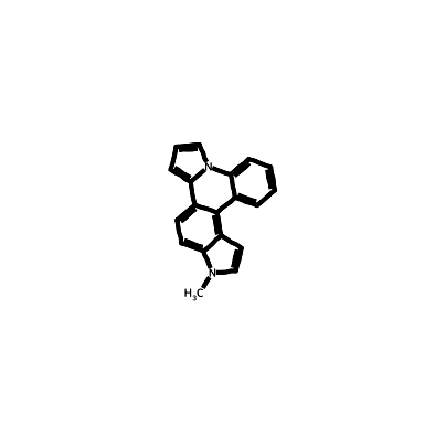 Cn1ccc2c3c4ccccc4n4cccc4c3ccc21